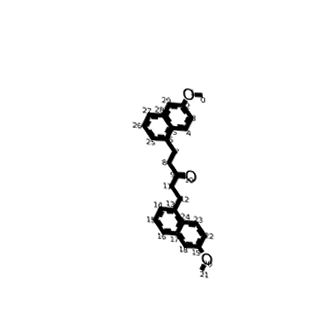 COc1ccc2c(CCC(=O)CCc3cccc4cc(OC)ccc34)cccc2c1